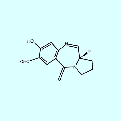 O=Cc1cc2c(cc1O)N=C[C@@H]1CCCN1C2=O